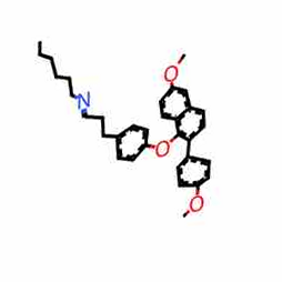 CCCCCCN=CCCc1ccc(Oc2c(-c3ccc(OC)cc3)ccc3cc(OC)ccc23)cc1